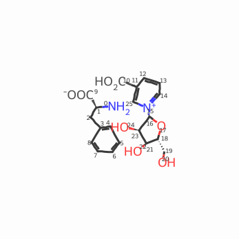 N[C@@H](Cc1ccccc1)C(=O)[O-].O=C(O)c1ccc[n+]([C@@H]2O[C@H](CO)[C@@H](O)[C@H]2O)c1